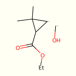 CCOC(=O)C1[CH]C1(C)C.[CH2]O